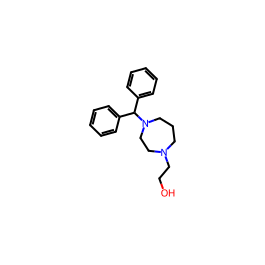 OCCN1CCCN(C(c2ccccc2)c2ccccc2)CC1